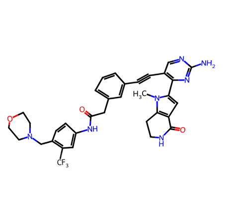 Cn1c(-c2nc(N)ncc2C#Cc2cccc(CC(=O)Nc3ccc(CN4CCOCC4)c(C(F)(F)F)c3)c2)cc2c1CCNC2=O